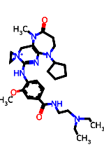 CCN(CC)CCNC(=O)c1ccc(NC2=NC3=C(C[N+]24CC4)N(C)C(=O)CCN3C2CCCC2)c(OC)c1